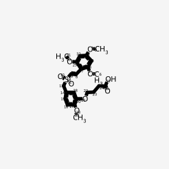 COc1cc(OC)c(/C=C/S(=O)(=O)Cc2ccc(OC)c(OCCCC(=O)O)c2)c(OC)c1